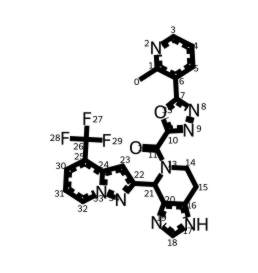 Cc1ncccc1-c1nnc(C(=O)N2CCc3[nH]cnc3C2c2cc3c(C(F)(F)F)cccn3n2)o1